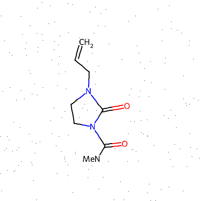 C=CCN1CCN(C(=O)NC)C1=O